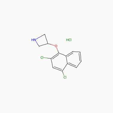 Cl.Clc1cc(Cl)c2ccccc2c1OC1CNC1